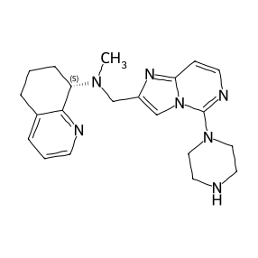 CN(Cc1cn2c(N3CCNCC3)nccc2n1)[C@H]1CCCc2cccnc21